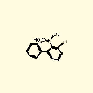 CC(C)(C)N(C(=O)O)c1c(Cl)cccc1-c1ccccc1